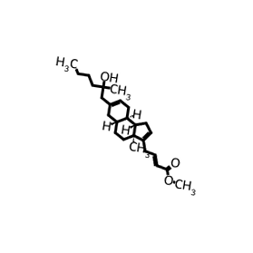 CCCCC(C)(O)CC1=CC[C@@H]2[C@H](CC[C@]3(C)C(C/C=C/C(=O)OC)=CC[C@@H]23)C1